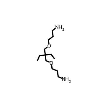 CCC(CC)(COCCCN)COCCCN